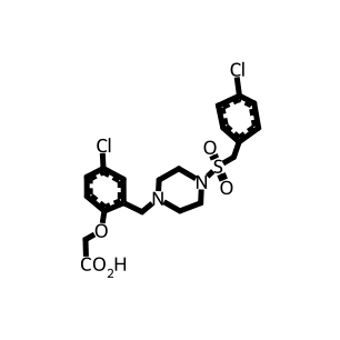 O=C(O)COc1ccc(Cl)cc1CN1CCN(S(=O)(=O)Cc2ccc(Cl)cc2)CC1